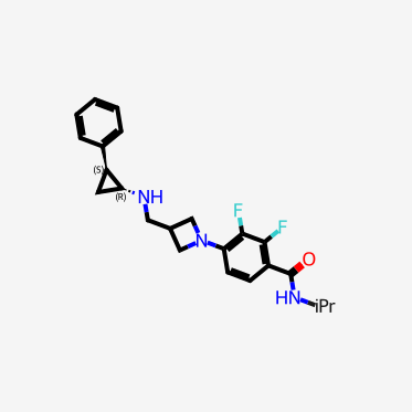 CC(C)NC(=O)c1ccc(N2CC(CN[C@@H]3C[C@H]3c3ccccc3)C2)c(F)c1F